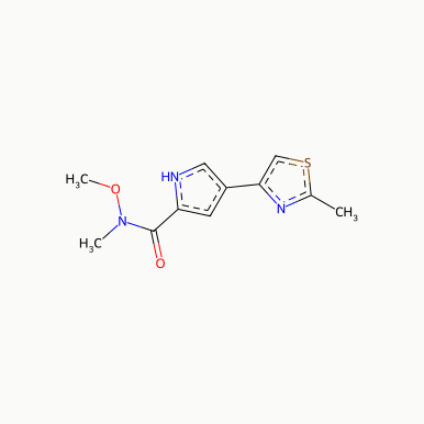 CON(C)C(=O)c1cc(-c2csc(C)n2)c[nH]1